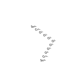 [Cr+3].[Cr+3].[O-2].[O-2].[O-2].[O-2].[O-2].[O-2].[O-2].[Sn+4].[Sn+4]